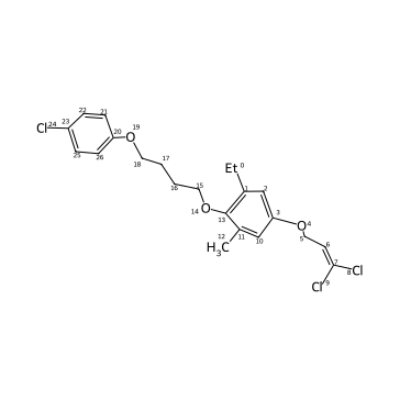 CCc1cc(OCC=C(Cl)Cl)cc(C)c1OCCCCOc1ccc(Cl)cc1